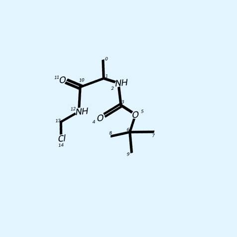 CC(NC(=O)OC(C)(C)C)C(=O)NCCl